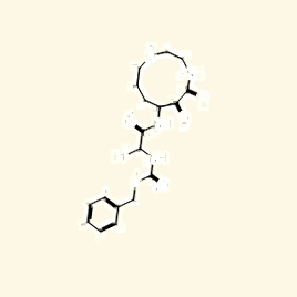 CC(C)C(NC(=O)OCc1ccccc1)C(=O)NC1CCCOCCNC(=O)C1=O